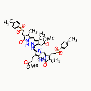 COC(=O)CCC1=C(C)C(/C=C2\NC(=O)C(C)=C2CCS(=O)(=O)c2ccc(C)cc2)=NC/1=C\c1[nH]c(/C=C2\NC(=O)C(CCS(=O)(=O)c3ccc(C)cc3)C2C)c(C)c1CC(=O)OC